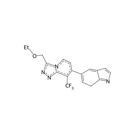 CCOCc1nnc2c(C(F)(F)F)c(C3=CCC4=NC=CC4=C3)ccn12